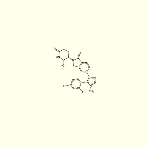 Cn1cnc(-c2ccc3c(c2)CN(C2CCC(=O)NC2=O)C3=O)c1-c1ccc(Cl)cc1F